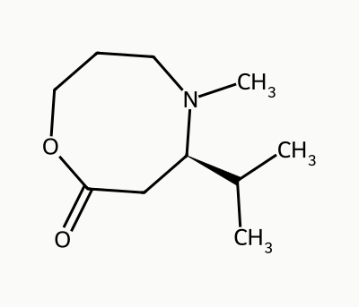 CC(C)[C@H]1CC(=O)OCCCN1C